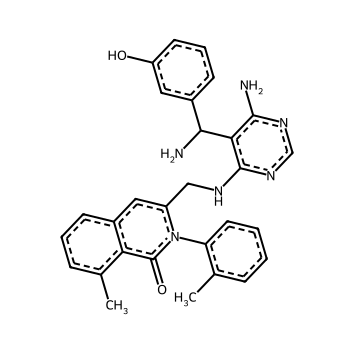 Cc1ccccc1-n1c(CNc2ncnc(N)c2C(N)c2cccc(O)c2)cc2cccc(C)c2c1=O